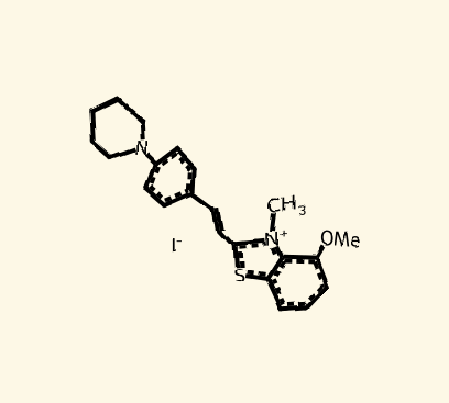 COc1cccc2sc(C=Cc3ccc(N4CCCCC4)cc3)[n+](C)c12.[I-]